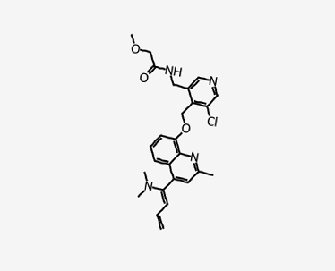 C=C/C=C(/c1cc(C)nc2c(OCc3c(Cl)cncc3CNC(=O)COC)cccc12)N(C)C